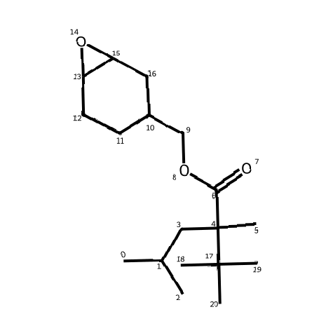 CC(C)CC(C)(C(=O)OCC1CCC2OC2C1)C(C)(C)C